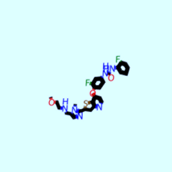 COCCNCc1cnc(C2Cc3nccc(Oc4ccc(NC(=O)Nc5ccccc5F)cc4F)c3S2)n1C